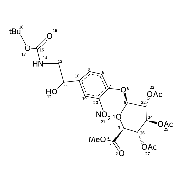 COC(=O)[C@H]1O[C@@H](Oc2ccc(C(O)CNC(=O)OC(C)(C)C)cc2[N+](=O)[O-])[C@H](OC(C)=O)[C@@H](OC(C)=O)[C@@H]1OC(C)=O